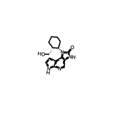 O=c1[nH]c2cnc3[nH]ccc3c2n1[C@H]1CCCC[C@H]1CO